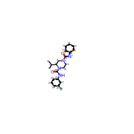 CC(C)C1CN(c2nc3ccccc3o2)CCN1C(=O)Nc1cccc(F)c1